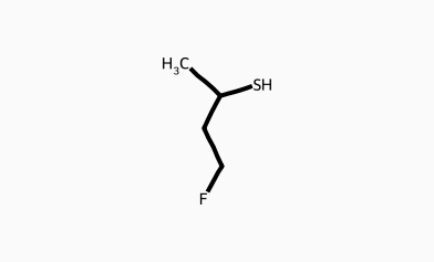 CC(S)CCF